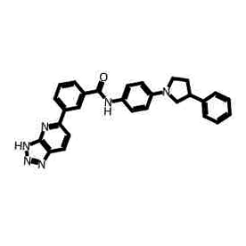 O=C(Nc1ccc(N2CCC(c3ccccc3)C2)cc1)c1cccc(-c2ccc3nn[nH]c3n2)c1